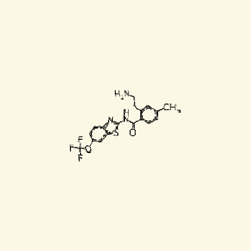 Cc1ccc(C(=O)Nc2nc3ccc(OC(F)(F)F)cc3s2)c(CCN)c1